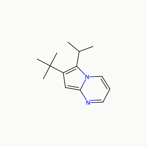 CC(C)c1c(C(C)(C)C)cc2ncccn12